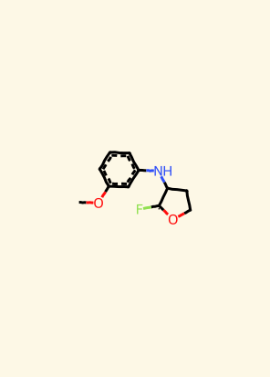 COc1cccc(NC2CCO[C]2F)c1